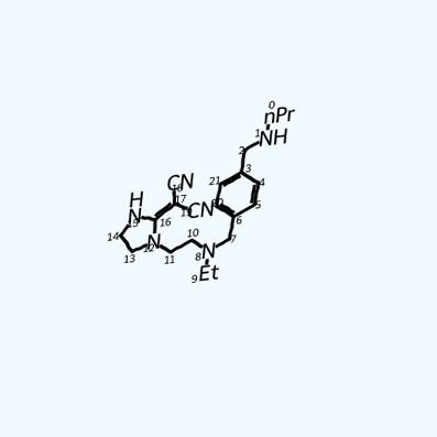 CCCNCc1ccc(CN(CC)CCN2CCNC2=C(C#N)C#N)cc1